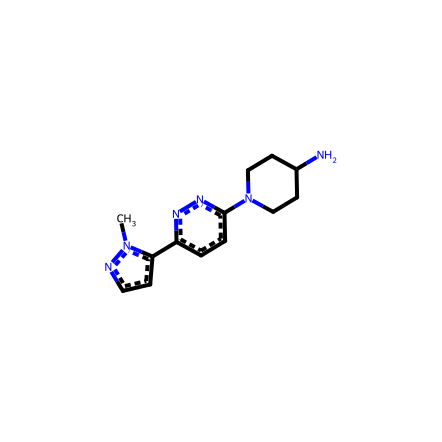 Cn1nccc1-c1ccc(N2CCC(N)CC2)nn1